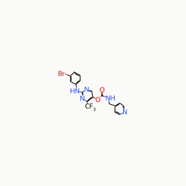 O=C(NCc1ccncc1)Oc1cnc(Nc2cccc(Br)c2)nc1C(F)(F)F